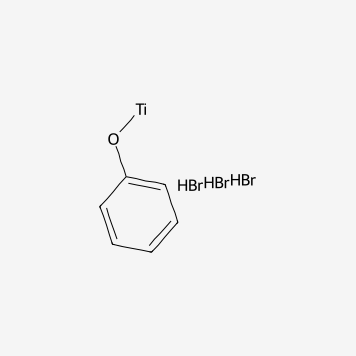 Br.Br.Br.[Ti][O]c1ccccc1